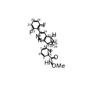 CONC(=O)c1cccc([C@@]23CC[C@@H](c4cc(-c5c(F)cccc5F)nnc42)C3(C)C)n1